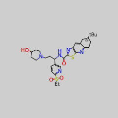 CCS(=O)(=O)c1ccc(C(CCN2CCC(O)CC2)NC(=O)c2nc3cc4c(nc3s2)CC[C@H](C(C)(C)C)C4)cn1